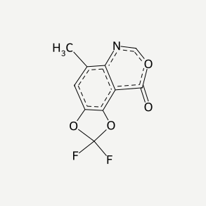 Cc1cc2c(c3c(=O)ocnc13)OC(F)(F)O2